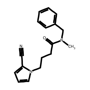 CN(Cc1ccccc1)C(=O)CCCn1cccc1C#N